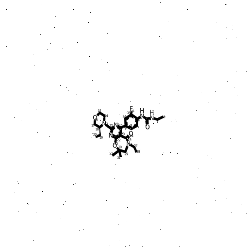 CCNC(=O)Nc1ccc(-c2nc(N3CCOC[C@@H]3CC)nc3c2C(=O)N(CC)CC(C)(C)O3)cc1F